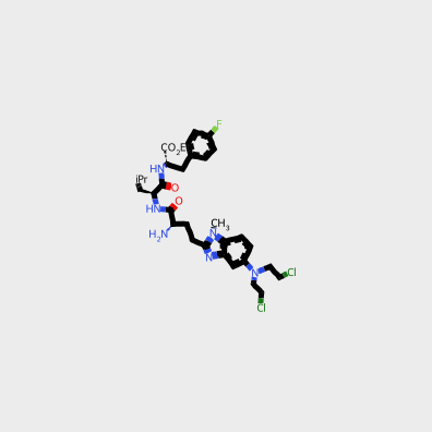 CCOC(=O)[C@H](Cc1ccc(F)cc1)NC(=O)[C@H](CC(C)C)NC(=O)[C@@H](N)CCc1nc2cc(N(CCCl)CCCl)ccc2n1C